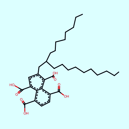 CCCCCCCCCCC(CCCCCCCC)Cc1cc(C(=O)O)c2c(C(=O)O)ccc(C(=O)O)c2c1C(=O)O